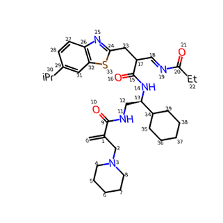 C=C(CN1CCCCC1)C(=O)NC[C@@H](NC(=O)C(/C=N/C(=O)CC)Cc1nc2ccc(C(C)C)cc2s1)C1CCCCC1